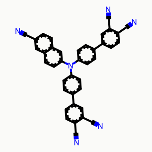 N#Cc1ccc2cc(N(c3ccc(-c4ccc(C#N)c(C#N)c4)cc3)c3ccc(-c4ccc(C#N)c(C#N)c4)cc3)ccc2c1